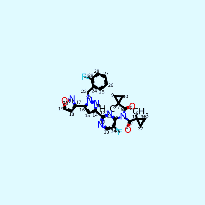 CC1(C(=O)N(C(=O)C2(C)CC2)c2nc(-c3cc(-c4ccon4)n(Cc4ccccc4F)n3)ncc2F)CC1